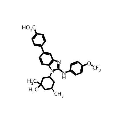 C[C@@H]1C[C@H](n2c(Nc3ccc(OC(F)(F)F)cc3)nc3cc(-c4ccc(C(=O)O)cc4)ccc32)CC(C)(C)C1